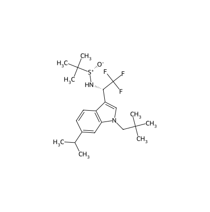 CC(C)c1ccc2c([C@H](N[S@@+]([O-])C(C)(C)C)C(F)(F)F)cn(CC(C)(C)C)c2c1